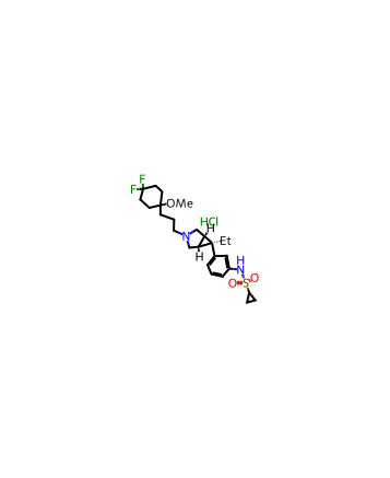 CC[C@]1(c2cccc(NS(=O)(=O)C3CC3)c2)[C@@H]2CN(CCCC3(OC)CCC(F)(F)CC3)C[C@@H]21.Cl